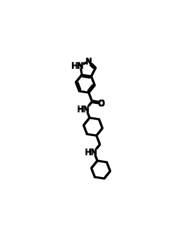 O=C(NC1CCC(CNC2CCCCC2)CC1)c1ccc2[nH]ncc2c1